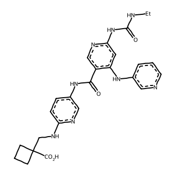 CCNC(=O)Nc1cc(Nc2cccnc2)c(C(=O)Nc2ccc(NCC3(C(=O)O)CCC3)nc2)cn1